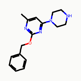 Cc1cc(N2CCNCC2)nc(OCc2ccccc2)n1